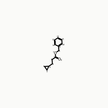 O=C(CCC1CC1)OCc1ccccc1